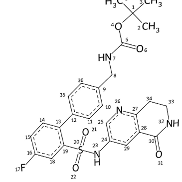 CC(C)(C)OC(=O)NCc1ccc(-c2ccc(F)cc2S(=O)(=O)Nc2cnc3c(c2)C(=O)NCC3)cc1